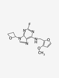 COc1ccoc1CNc1nc(F)nc2c1ncn2C1CCO1